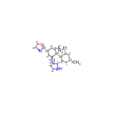 CCc1[c]c(C)cc(-c2ncc[nH]2)c1-c1c(C)cc(-c2ncco2)cc1CC